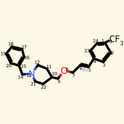 FC(F)(F)c1ccc(/C=C/COCC2CCN(Cc3ccccc3)CC2)cc1